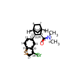 CN(C)C(=O)[C@@H]1[C@H]2CC[C@H](C2)[C@@H]1c1ccc2scc(Br)c2c1